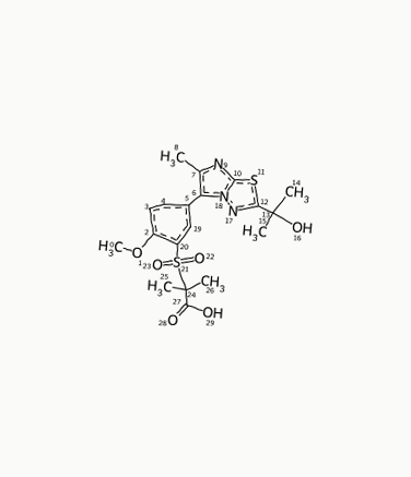 COc1ccc(-c2c(C)nc3sc(C(C)(C)O)nn23)cc1S(=O)(=O)C(C)(C)C(=O)O